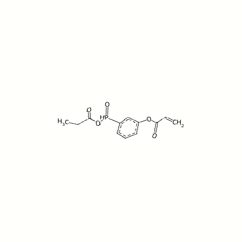 C=CC(=O)Oc1cccc([PH](=O)OC(=O)CC)c1